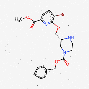 COC(=O)c1ccc(Br)c(OC[C@H]2CN(C(=O)OCc3ccccc3)CCN2)n1